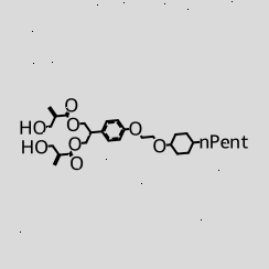 C=C(CO)C(=O)OCC(COC(=O)C(=C)CO)c1ccc(OCCOC2CCC(CCCCC)CC2)cc1